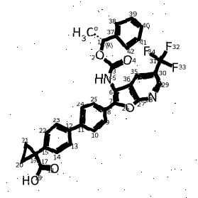 C[C@@H](OC(=O)Nc1c(-c2ccc(-c3ccc(C4(C(=O)O)CC4)cc3)cc2)oc2ncc(C(F)(F)F)cc12)c1ccccc1